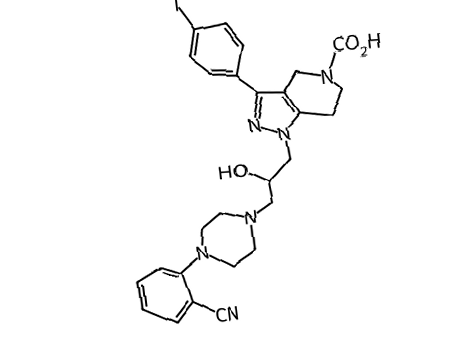 N#Cc1ccccc1N1CCN(CC(O)Cn2nc(-c3ccc(I)cc3)c3c2CCN(C(=O)O)C3)CC1